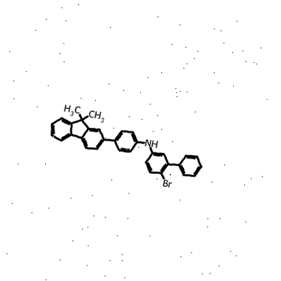 CC1(C)c2ccccc2-c2ccc(-c3ccc(Nc4ccc(Br)c(-c5ccccc5)c4)cc3)cc21